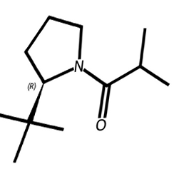 CC(C)C(=O)N1CCC[C@@H]1C(C)(C)C